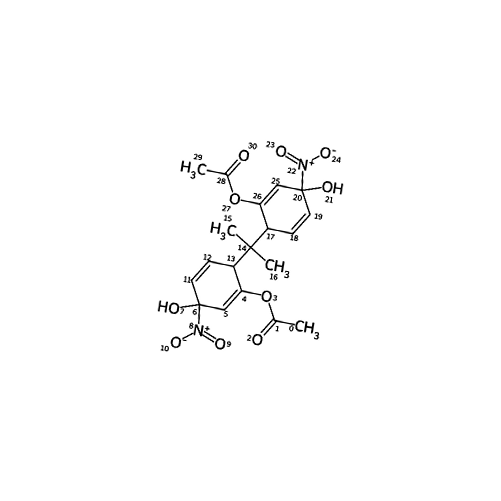 CC(=O)OC1=CC(O)([N+](=O)[O-])C=CC1C(C)(C)C1C=CC(O)([N+](=O)[O-])C=C1OC(C)=O